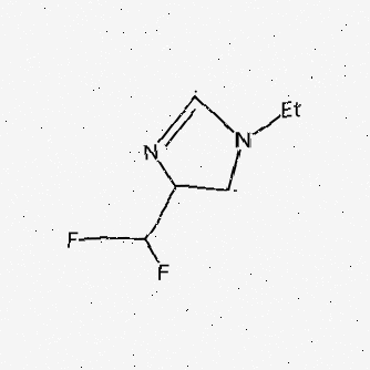 CCN1[C]=NC(C(F)F)[CH]1